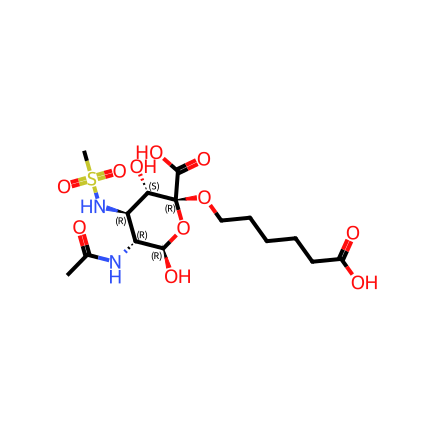 CC(=O)N[C@@H]1[C@@H](NS(C)(=O)=O)[C@H](O)[C@](OCCCCCC(=O)O)(C(=O)O)O[C@H]1O